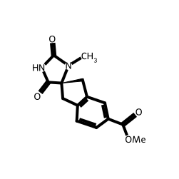 COC(=O)c1ccc2c(c1)C[C@@]1(C2)C(=O)NC(=O)N1C